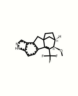 CO[C@H]1C(C(F)(F)F)=C2c3ccc4[nH]ncc4c3CC23CC[C@@H]1C3